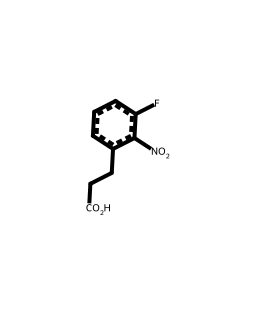 O=C(O)CCc1cccc(F)c1[N+](=O)[O-]